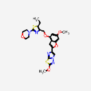 CCc1sc(N2CCOCC2)nc1COc1cc(OC)cc2oc(-c3cn4nc(OC)sc4n3)cc12